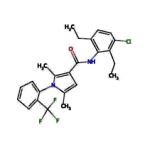 CCc1ccc(Cl)c(CC)c1NC(=O)c1cc(C)n(-c2ccccc2C(F)(F)F)c1C